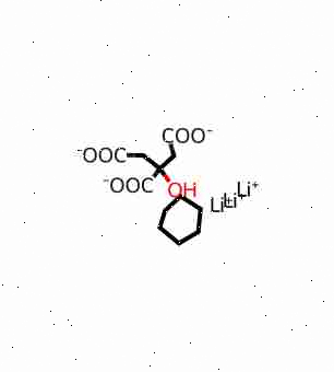 C1CCCCC1.O=C([O-])CC(O)(CC(=O)[O-])C(=O)[O-].[Li+].[Li+].[Li+]